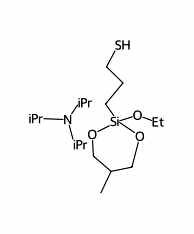 CC(C)N(C(C)C)C(C)C.CCO[Si]1(CCCS)OCC(C)CO1